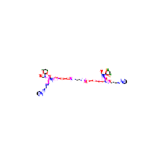 O=C(O)CC(NC(=O)[C@H](COCCOCCOC(=O)NCCCCNC(=O)OCCOCCOC[C@H](NC(=O)CCCCNc1ccccn1)C(=O)NC(CC(=O)O)c1cc(Cl)cc(Cl)c1)NC(=O)CCCCNc1ccccn1)c1cc(Cl)cc(Cl)c1